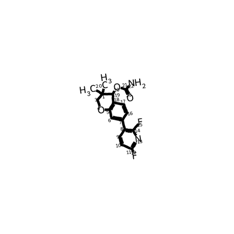 CC1(C)COc2cc(-c3ccc(F)nc3F)ccc2C1OC(N)=O